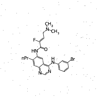 CCCc1cc2ncnc(Nc3cccc(Br)c3)c2cc1NC(=O)C(F)=CCN(C)C